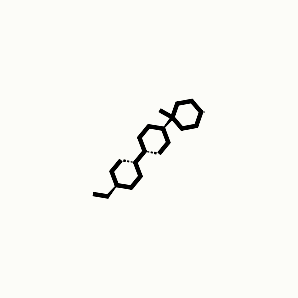 CC[C@H]1CC[C@H]([C@H]2CC[C@H](C3(C)CC[CH]CC3)CC2)CC1